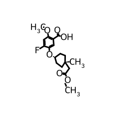 CCOC(=O)C[C@]1(C)CC[C@H](Oc2cc(C(=O)O)c(OC)cc2F)CC1